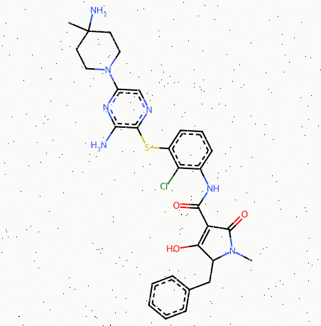 CN1C(=O)C(C(=O)Nc2cccc(Sc3ncc(N4CCC(C)(N)CC4)nc3N)c2Cl)=C(O)C1Cc1ccccc1